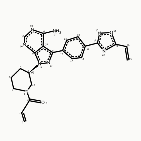 C=CC(=O)N1CCC[C@@H](n2nc(-c3ccc(-c4noc(C=C)n4)cc3)c3c(N)ncnc32)C1